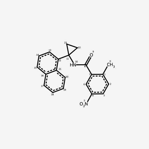 Cc1ccc([N+](=O)[O-])cc1C(=O)NC1(c2cccc3ccccc23)CC1